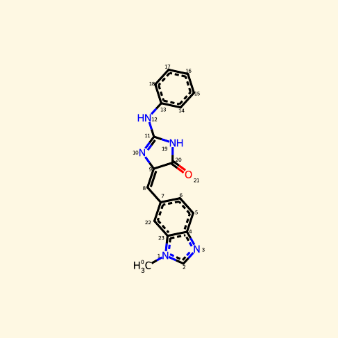 Cn1cnc2ccc(C=C3N=C(Nc4ccccc4)NC3=O)cc21